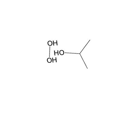 CC(C)O.OO